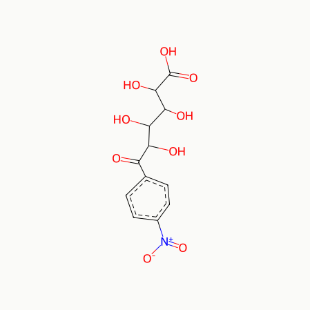 O=C(O)C(O)C(O)C(O)C(O)C(=O)c1ccc([N+](=O)[O-])cc1